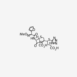 CON=C(C(=O)NC1C(=O)N2C(C(=O)O)=C(C(CCC(=O)O)Sc3nnn[nH]3)CS[C@@H]12)c1ccco1